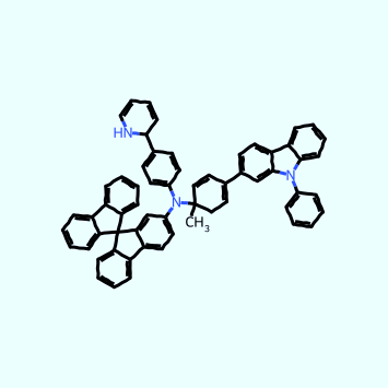 CC1(N(c2ccc(C3C=CC=CN3)cc2)c2ccc3c(c2)C2(c4ccccc4-c4ccccc42)c2ccccc2-3)C=CC(c2ccc3c4ccccc4n(-c4ccccc4)c3c2)=CC1